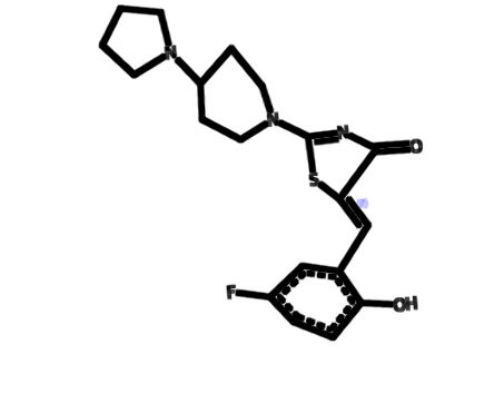 O=C1N=C(N2CCC(N3CCCC3)CC2)S/C1=C\c1cc(F)ccc1O